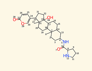 CC12CCC(NC(=O)C3CCCN3)CC1CCC1C2CCC2(C)C(c3ccc(=O)oc3)CCC12O